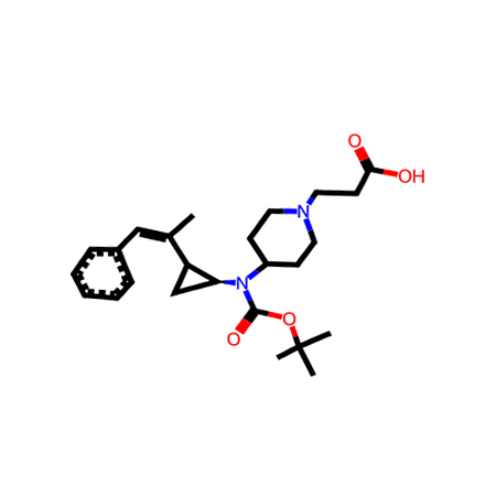 CC(=Cc1ccccc1)C1C[C@@H]1N(C(=O)OC(C)(C)C)C1CCN(CCC(=O)O)CC1